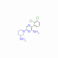 Nc1nc(N2CCCC(N)C2)cnc1-c1cccc(Cl)c1Cl